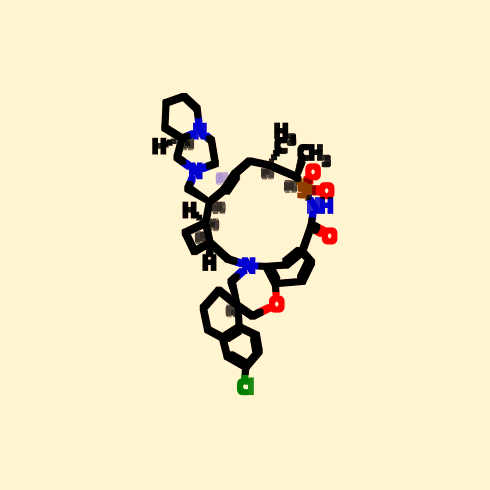 C[C@@H]1[C@@H](C)C/C=C/[C@H](CN2CCN3CCCC[C@@H]3C2)[C@@H]2CC[C@H]2CN2C[C@@]3(CCCc4cc(Cl)ccc43)COc3ccc(cc32)C(=O)NS1(=O)=O